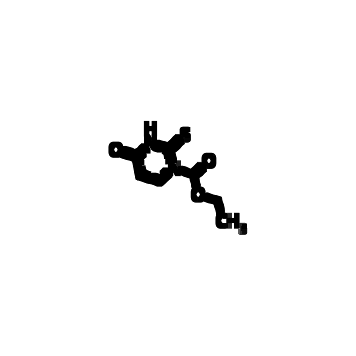 CCOC(=O)n1ccc(=O)[nH]c1=S